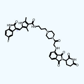 Cc1[nH]c(/C=C2\C(=O)Nc3ccc(F)cc32)c(C)c1C(=O)NCCCN1CCN(C(=O)CNc2cccc3c2C(=O)N(C2CCC(=O)NC2=O)C3=O)CC1